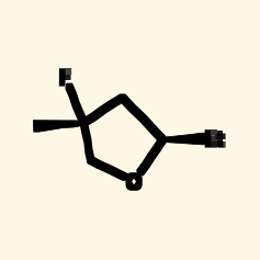 CC[C@@H]1C[C@@](C)(F)CO1